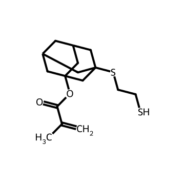 C=C(C)C(=O)OC12CC3CC(C1)CC(SCCS)(C3)C2